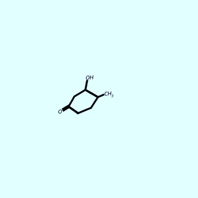 CC1CCC(=O)CC1O